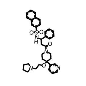 O=C(CC(NS(=O)(=O)c1ccc2ccccc2c1)c1ccccc1)N1CCC(OCCN2CCCC2)(c2cccnc2)CC1